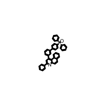 O=P(c1ccccc1)(c1ccccc1)c1ccc(-c2cccc(-c3cc(-c4ccccc4)nc4ccc5ccccc5c34)c2)cc1